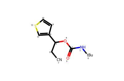 CC(C)(C)NC(=O)OC(CC#N)c1ccsc1